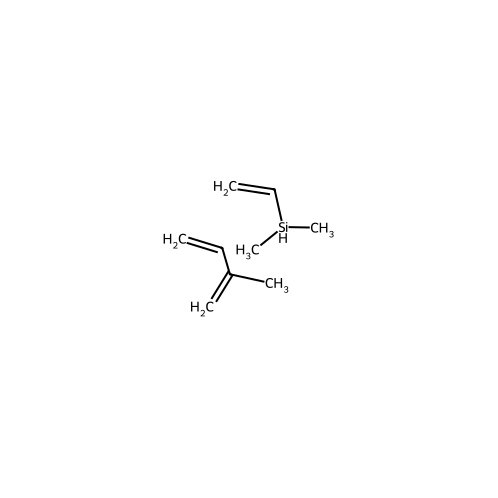 C=CC(=C)C.C=C[SiH](C)C